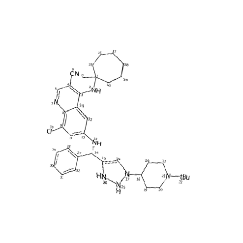 CC1(Nc2c(C#N)cnc3c(Cl)cc(N[C@H](C4=CN(C5CCN(C(C)(C)C)CC5)NN4)c4ccccc4)cc23)CCCCCC1